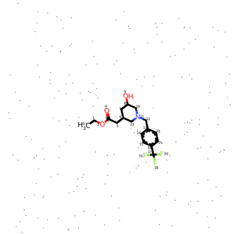 CCOC(=O)CC1CC(O)CN(Cc2ccc(C(F)(F)F)cc2)C1